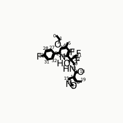 CCOc1c(C)cc([C@@](O)(CNC(=O)c2cnoc2C)C(F)(F)F)nc1-c1ccc(F)cc1